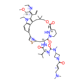 C=C/C(=C(\N=C/C)[C@H](C)OC)c1c2c3cc(ccc3n1CC)-c1csc(n1)C[C@H](NC(=O)[C@H](C(C)C)N(C)C(=O)N(C)C1CN(C(=O)/C=C/CN(C)C)C1)C(=O)N1CCC[C@H](N1)C(=O)OCC(C)(C)C2